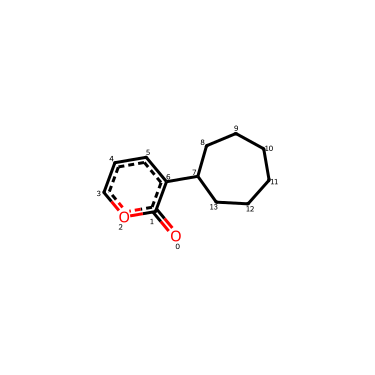 O=c1occcc1C1CCCCCC1